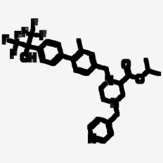 Cc1cc(CN2CCN(Cc3ccncc3)CC2C(=O)OC(C)C)ccc1-c1ccc(C(O)(C(F)(F)F)C(F)(F)F)cc1